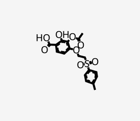 CC(=O)Oc1c(OCCS(=O)(=O)c2ccc(C)cc2)ccc(C(=O)O)c1O